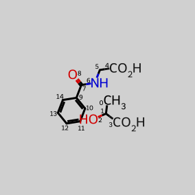 CC(O)C(=O)O.O=C(O)CNC(=O)c1ccccc1